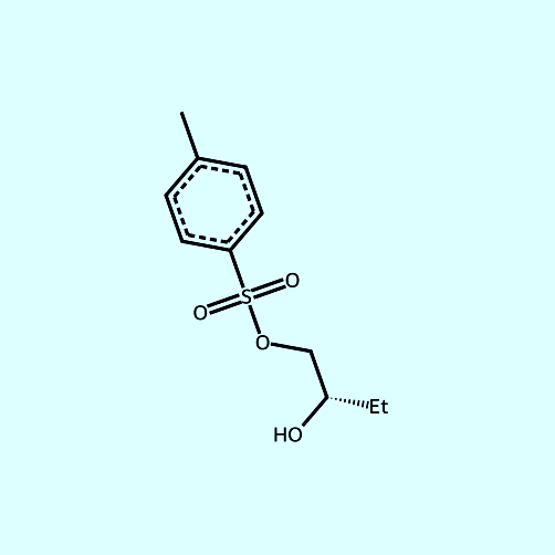 CC[C@H](O)COS(=O)(=O)c1ccc(C)cc1